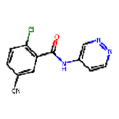 N#Cc1ccc(Cl)c(C(=O)Nc2ccnnc2)c1